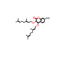 CC(=O)Oc1ccc2c(OC/C=C(\C)CCC=C(C)C)c(OC/C=C(\C)CCC=C(C)C)c(=O)oc2c1